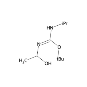 CC(O)/N=C(/NC(C)C)OC(C)(C)C